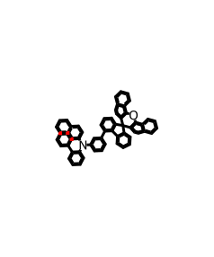 c1ccc(-c2ccccc2N(c2cccc(-c3cccc4c3-c3ccccc3C43c4ccc5ccccc5c4Oc4c3ccc3ccccc43)c2)c2ccc3ccccc3c2)cc1